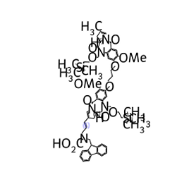 COc1cc2c(cc1OCCCOc1cc3c(cc1OC)C(=O)N1C=C(/C=C/CN(CC4c5ccccc5-c5ccccc54)C(=O)O)C[C@H]1C(=O)N3COCC[Si](C)(C)C)N(COCC[Si](C)(C)C)C(=O)[C@@H]1CC(C)=CN1C2=O